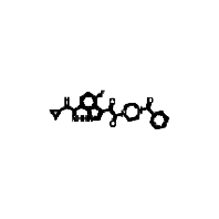 N=C(NC1CC1)c1ccc(F)c2c(C(=O)C(=O)N3CCN(C(=O)c4ccccc4)CC3)c[nH]c12